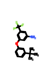 CC(C)(C)c1cccc(Oc2cc(N)cc(C(F)(F)F)c2)c1